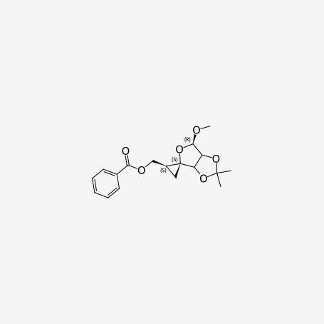 CO[C@@H]1O[C@]2(C[C@H]2COC(=O)c2ccccc2)C2OC(C)(C)OC21